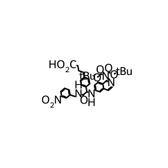 CC(C)(C)OC(=O)N(C(=O)OC(C)(C)C)c1nccc2cc(NC(C(=O)NCc3cccc([N+](=O)[O-])c3)c3ccc(CCCC(=O)O)cc3)ccc12